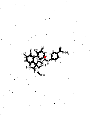 CC(C)(C)C[C@H]1N[C@H](C(=O)Nc2ccc(C(N)=O)cc2)CC12C(=O)Nc1cc(Cl)c(F)c(-c3cccc(Cl)c3F)c12